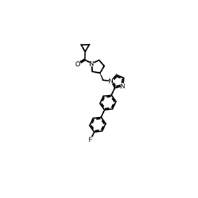 O=C(C1CC1)N1CC[C@@H](Cn2ccnc2-c2ccc(-c3ccc(F)cc3)cc2)C1